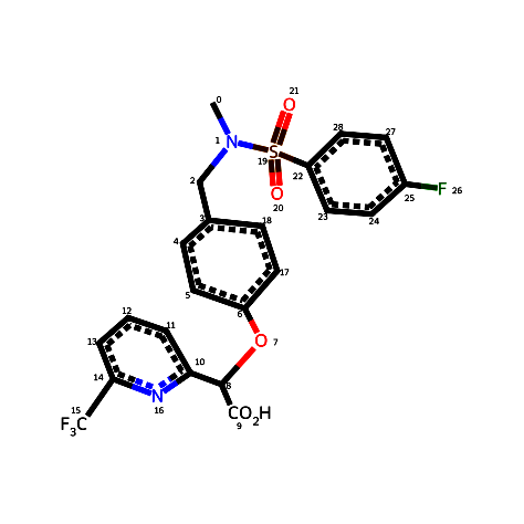 CN(Cc1ccc(OC(C(=O)O)c2cccc(C(F)(F)F)n2)cc1)S(=O)(=O)c1ccc(F)cc1